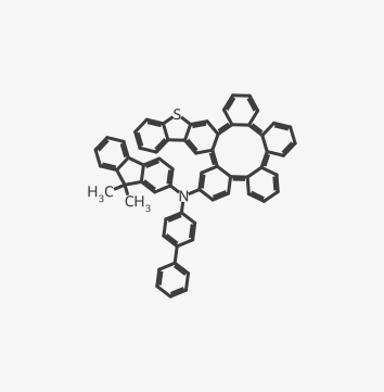 CC1(C)c2ccccc2-c2ccc(N(c3ccc(-c4ccccc4)cc3)c3ccc4c5ccccc5c5ccccc5c5ccccc5c5cc6sc7ccccc7c6cc5c4c3)cc21